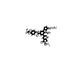 CC(=O)N[C@@H]1CCC2c3cc(C(=O)Nc4ccc(OC(F)(F)Cl)cc4)cc(-c4cnc5c(c4)C(=O)N(C)C5)c3N(C(C)C)C21